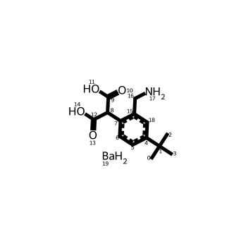 CC(C)(C)c1ccc(C(C(=O)O)C(=O)O)c(CN)c1.[BaH2]